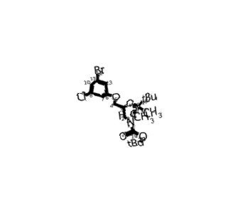 CN(CC(COc1cc(Cl)cc(Br)c1)O[Si](C)(C)C(C)(C)C)C(=O)OC(C)(C)C